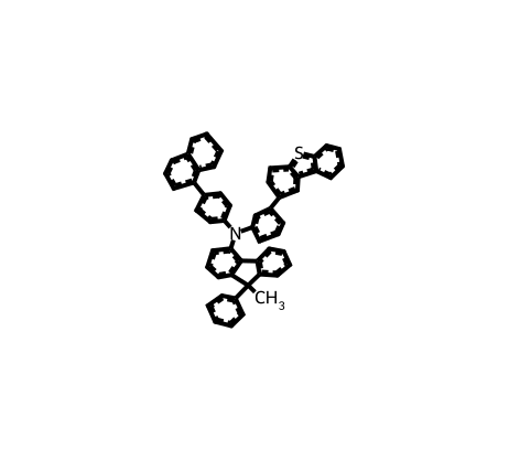 CC1(c2ccccc2)c2ccccc2-c2c(N(c3ccc(-c4cccc5ccccc45)cc3)c3cccc(-c4ccc5sc6ccccc6c5c4)c3)cccc21